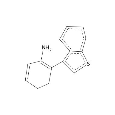 NC1=C(c2csc3ccccc23)CCC=C1